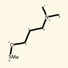 CSOCCCN(C)C